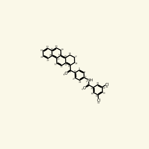 O=C(Nc1ccc(C(=O)C2=c3ccc4c(c3CCC2)CC=c2ccccc2=4)cc1)c1cc(Cl)cc(Cl)c1